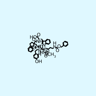 CS(=O)(=O)N[C@@H](CCCCNC(=O)OCc1ccccc1)C(=O)N[C@H]([C@@H](c1ccccc1)c1ccc(O)cc1)P(=O)(O)CC1(C(=O)N[C@@H](Cc2c[nH]c3ccccc23)C(=O)O)CCCC1